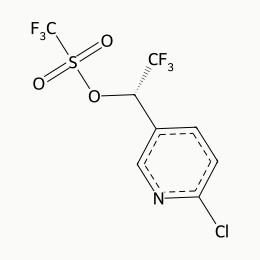 O=S(=O)(O[C@@H](c1ccc(Cl)nc1)C(F)(F)F)C(F)(F)F